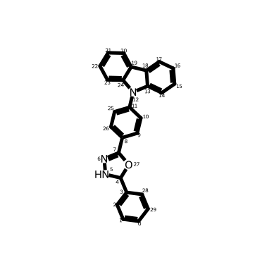 c1ccc(C2NN=C(c3ccc(-n4c5ccccc5c5ccccc54)cc3)O2)cc1